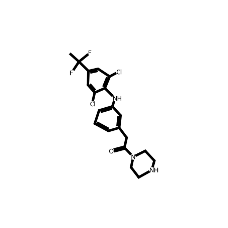 CC(F)(F)c1cc(Cl)c(Nc2cccc(CC(=O)N3CCNCC3)c2)c(Cl)c1